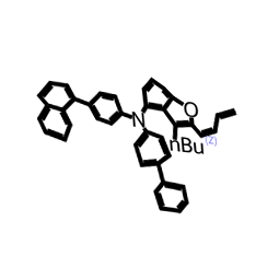 C=C/C=C\c1oc2cccc(N(c3ccc(-c4ccccc4)cc3)c3ccc(-c4cccc5ccccc45)cc3)c2c1CCCC